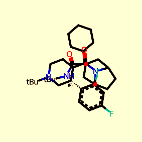 CC(C)(C)NC(=O)C1(C2CCCCC2)CC2CCC(C1)N2C(=O)C1CCN(C(C)(C)C)C[C@H]1c1ccc(F)cc1F